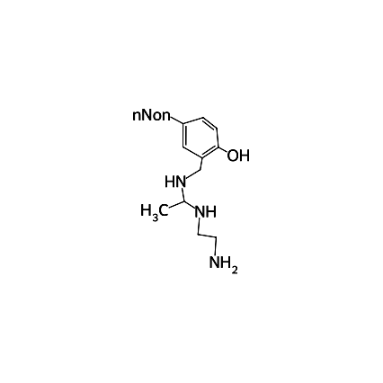 CCCCCCCCCc1ccc(O)c(CNC(C)NCCN)c1